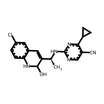 C[C@H](Nc1ncc(C#N)c(C2CC2)n1)C1=Cc2cc(Cl)ccc2NC1O